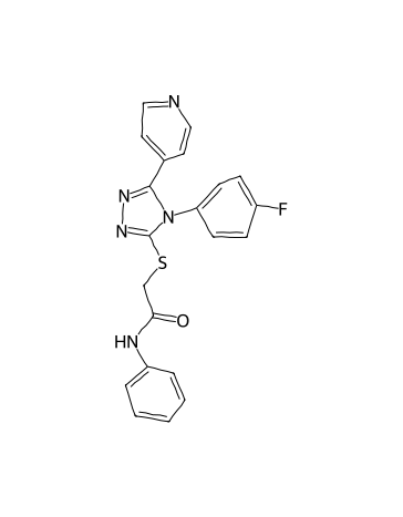 O=C(CSc1nnc(-c2ccncc2)n1-c1ccc(F)cc1)Nc1ccccc1